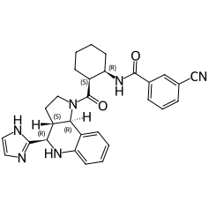 N#Cc1cccc(C(=O)N[C@@H]2CCCC[C@@H]2C(=O)N2CC[C@H]3[C@H](c4ncc[nH]4)Nc4ccccc4[C@@H]32)c1